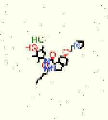 CCCCCC(=O)N1CCc2ccc(OCCN3CCCC3)cc2C1C(=O)Nc1cc(C)c(O)c(C)c1C.Cl